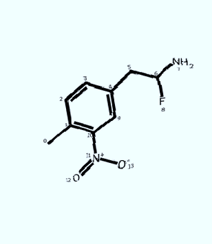 Cc1ccc(CC(N)F)cc1[N+](=O)[O-]